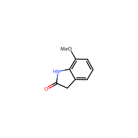 COc1[c]ccc2c1NC(=O)C2